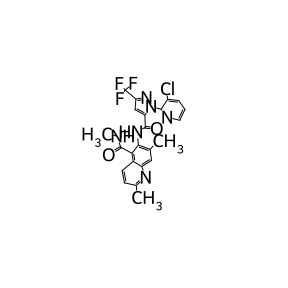 CNC(=O)c1c(NC(=O)c2cc(C(F)(F)F)nn2-c2ncccc2Cl)c(C)cc2nc(C)ccc12